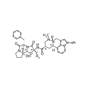 CCCn1cc2c3c(cccc31)[C@H]1C[C@@H](C(=O)N[C@]3(C)O[C@@]4(O)[C@@H]5CCCN5C(=O)[C@H](Cc5ccccc5)N4C3=O)CN(C)[C@@H]1C2